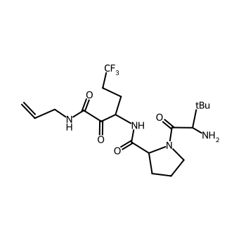 C=CCNC(=O)C(=O)C(CCC(F)(F)F)NC(=O)C1CCCN1C(=O)C(N)C(C)(C)C